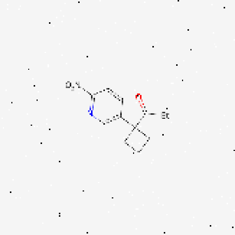 CCC(=O)C1(c2ccc([N+](=O)[O-])nc2)CCC1